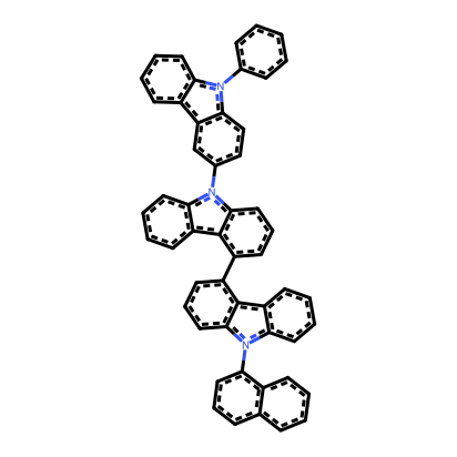 c1ccc(-n2c3ccccc3c3cc(-n4c5ccccc5c5c(-c6cccc7c6c6ccccc6n7-c6cccc7ccccc67)cccc54)ccc32)cc1